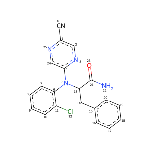 N#Cc1cnc(N(c2ccccc2Cl)C(Cc2ccccc2)C(N)=O)cn1